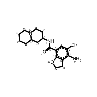 Nc1c(Cl)cc(C(=O)NC2CCN3CCCCC3C2)c2c1CCO2